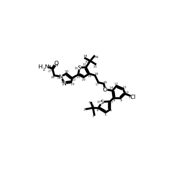 CC(C)(C)c1ccc(-c2cc(Cl)ccc2OCCCc2cc(-c3cnn(CC(N)=O)c3)sc2C(C)(C)C)s1